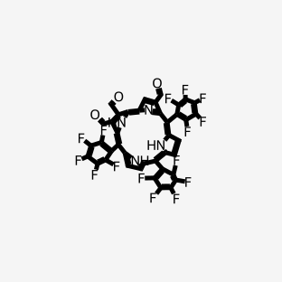 O=CC1=Cc2nc1c(-c1c(F)c(F)c(F)c(F)c1F)c1ccc([nH]1)c(-c1c(F)c(F)c(F)c(F)c1F)c1ccc([nH]1)c(-c1c(F)c(F)c(F)c(F)c1F)c1[nH]c2c(C=O)c1C=O